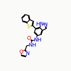 O=C(NCc1ncco1)Nc1cc(-c2cc3ccccc3s2)c2[nH]ncc2c1